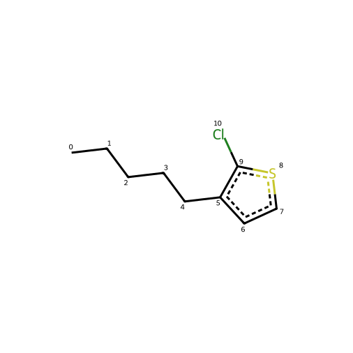 CCCCCc1ccsc1Cl